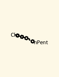 CCCCC[C@H]1CC[C@H](CCC2CCC(c3ccc(-c4ccc(Cl)cc4)cc3)CC2)CC1